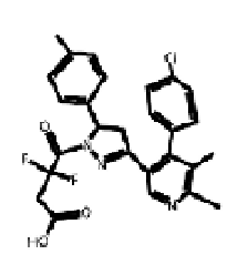 Cc1ccc(C2CC(c3cnc(C)c(C)c3-c3ccc(Cl)cc3)=NN2C(=O)C(F)(F)CC(=O)O)cc1